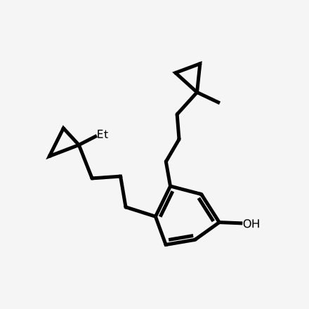 CCC1(CCCc2ccc(O)cc2CCCC2(C)CC2)CC1